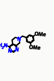 COc1cc(CN2CCc3c(N)ncnc3C2)cc(OC)c1